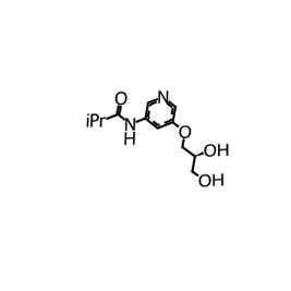 CC(C)C(=O)Nc1cncc(OC[C@@H](O)CO)c1